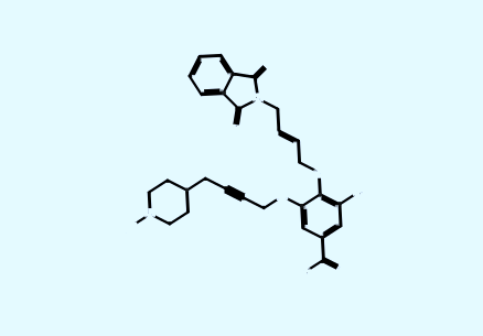 NC(=O)c1cc(OCC#CCC2CCN(C(=O)O)CC2)c(NCC=CCN2C(=O)c3ccccc3C2=O)c([N+](=O)[O-])c1